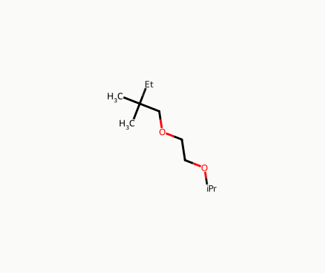 CCC(C)(C)COCCOC(C)C